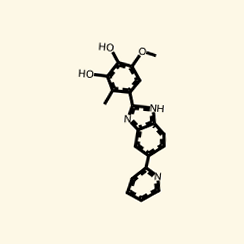 COc1cc(-c2nc3cc(-c4ccccn4)ccc3[nH]2)c(C)c(O)c1O